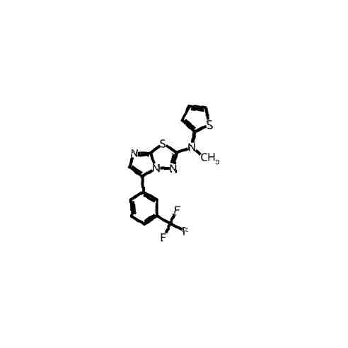 CN(c1cccs1)c1nn2c(-c3cccc(C(F)(F)F)c3)cnc2s1